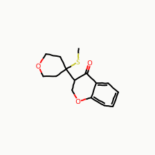 CSC1(C2COc3ccccc3C2=O)CCOCC1